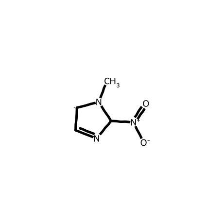 CN1[CH]C=NC1[N+](=O)[O-]